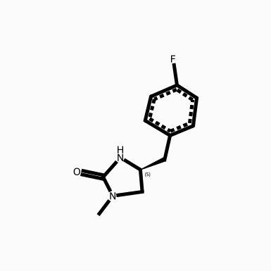 CN1C[C@H](Cc2ccc(F)cc2)NC1=O